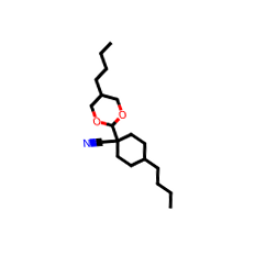 CCCCC1CCC(C#N)(C2OCC(CCCC)CO2)CC1